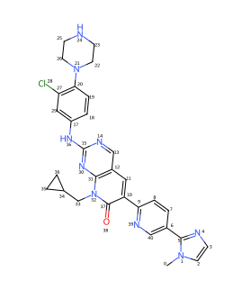 Cn1ccnc1-c1ccc(-c2cc3cnc(Nc4ccc(N5CCNCC5)c(Cl)c4)nc3n(CC3CC3)c2=O)nc1